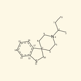 CCC(C)N1CCC2(CC1)CSc1ccccc12